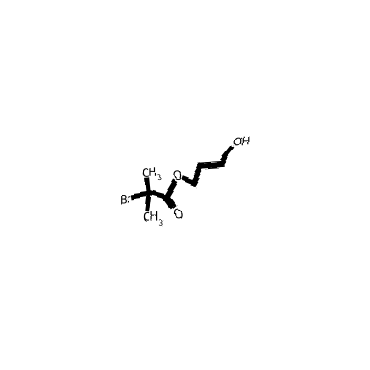 CC(C)(Br)C(=O)OCCCO